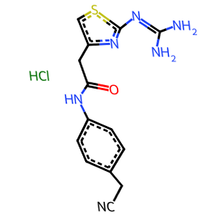 Cl.N#CCc1ccc(NC(=O)Cc2csc(N=C(N)N)n2)cc1